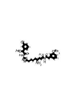 N/C(=C\C=C(/N)NC(=O)Cc1cccc(OC(F)(F)F)c1)CCCCc1nnc(NC(=O)C(O)c2cccc(Cl)c2)s1